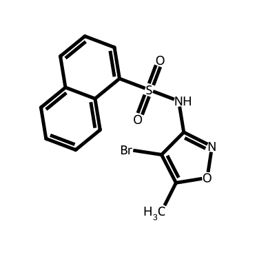 Cc1onc(NS(=O)(=O)c2cccc3ccccc23)c1Br